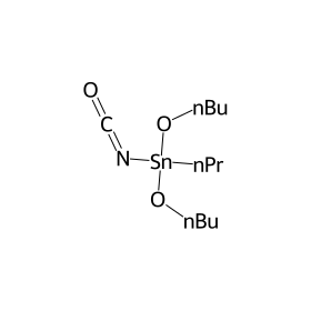 CCCC[O][Sn]([CH2]CC)([N]=C=O)[O]CCCC